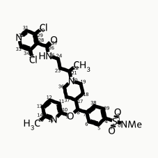 CNS(=O)(=O)c1ccc(C(Oc2cccc(C)n2)C2CCN(C(C)CCNC(=O)c3c(Cl)cncc3Cl)CC2)cc1